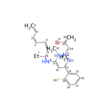 C=C/C=C\C=C/I(CC)N/C(=C/C(=N\C)c1ccccc1F)N(C)/N=C\C(=C)Br